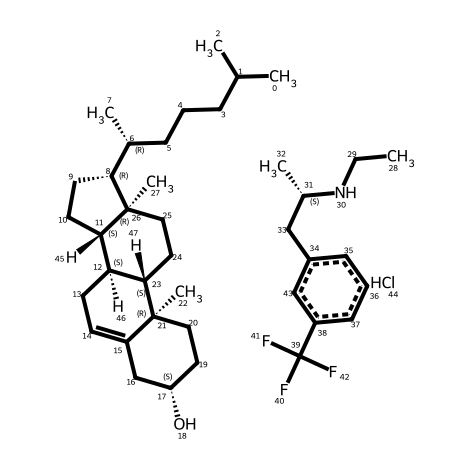 CC(C)CCC[C@@H](C)[C@H]1CC[C@H]2[C@@H]3CC=C4C[C@@H](O)CC[C@]4(C)[C@H]3CC[C@]12C.CCN[C@@H](C)Cc1cccc(C(F)(F)F)c1.Cl